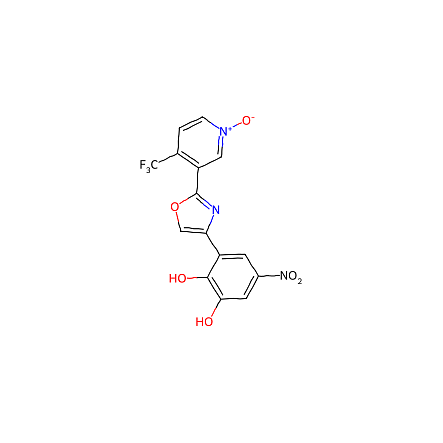 O=[N+]([O-])c1cc(O)c(O)c(-c2coc(-c3c[n+]([O-])ccc3C(F)(F)F)n2)c1